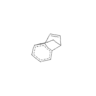 C1=CC2Cc3cccc2c31